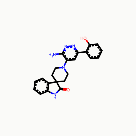 Nc1nnc(-c2ccccc2O)cc1N1CCC2(CC1)C(=O)Nc1ccccc12